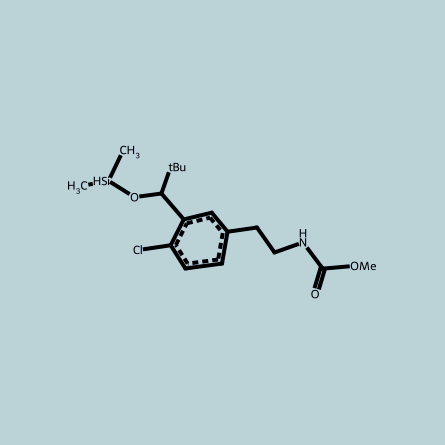 COC(=O)NCCc1ccc(Cl)c(C(O[SiH](C)C)C(C)(C)C)c1